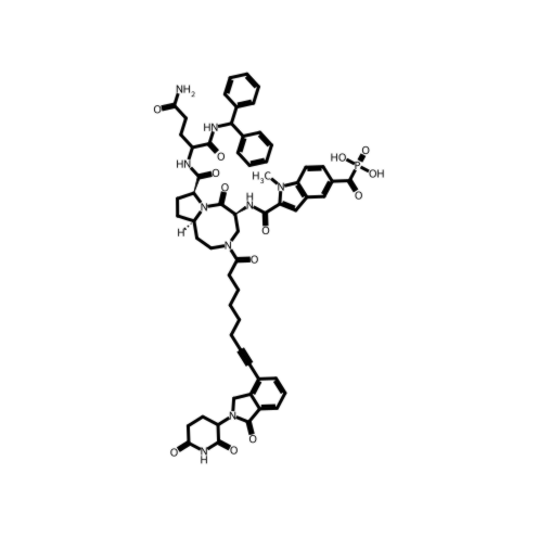 Cn1c(C(=O)N[C@H]2CN(C(=O)CCCCCC#Cc3cccc4c3CN(C3CCC(=O)NC3=O)C4=O)CC[C@H]3CC[C@@H](C(=O)NC(CCC(N)=O)C(=O)NC(c4ccccc4)c4ccccc4)N3C2=O)cc2cc(C(=O)P(=O)(O)O)ccc21